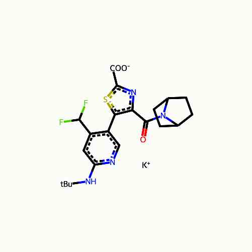 CC(C)(C)Nc1cc(C(F)F)c(-c2sc(C(=O)[O-])nc2C(=O)N2C3CCC2CC3)cn1.[K+]